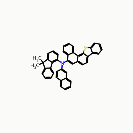 CC1(C)c2ccccc2-c2c(N(c3ccc4ccccc4c3)c3cc4ccc5c6ccccc6sc5c4c4ccccc34)cccc21